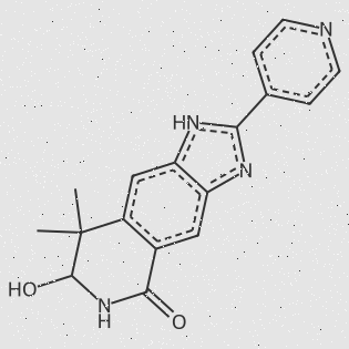 CC1(C)c2cc3[nH]c(-c4ccncc4)nc3cc2C(=O)NC1O